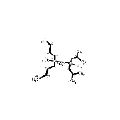 CC(C)C[N+](C)(C)CC(C)C.CCCC[N+](C)(C)CCCC